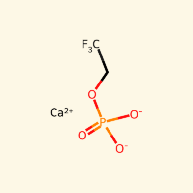 O=P([O-])([O-])OCC(F)(F)F.[Ca+2]